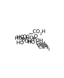 O=C(O)/C=C/C(=O)O.O=P(O)(O)O.O=P(O)(O)O.[CaH2].[CaH2].[CaH2]